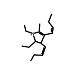 CC/C=C\C1=C(C)N(CC)C(CC)C1/C=C\CC